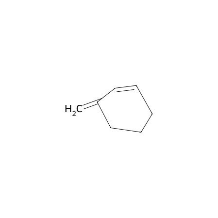 C=C1C=CCCC1